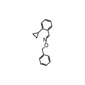 C(=NOCc1ccccc1)c1ccccc1C1CC1